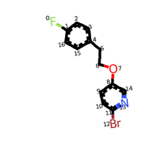 Fc1ccc(CCOc2ccc(Br)nc2)cc1